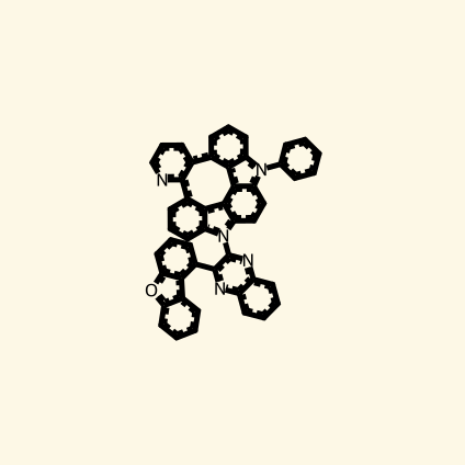 c1ccc(-n2c3cccc4c5cccnc5c5cccc6c5c5c(c43)c2ccc5n6-c2nc3ccccc3nc2-c2cccc3oc4ccccc4c23)cc1